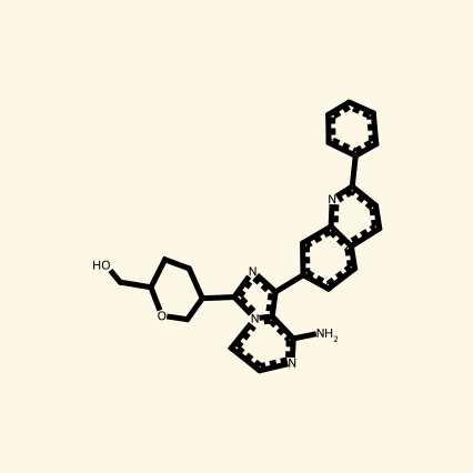 Nc1nccn2c(C3CCC(CO)OC3)nc(-c3ccc4ccc(-c5ccccc5)nc4c3)c12